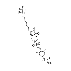 Cc1cc(N(C)C(N)=O)cc(C)c1C=CS(=O)(=O)N1CCC2(CC1)N=C(CCCCCCCC(F)(F)C(F)(F)F)NC2=O